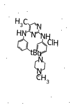 Cc1cnc(Nc2ccc(N3CCN(C)CC3)cc2)nc1Nc1cccc(C(C)(C)C)c1.Cl